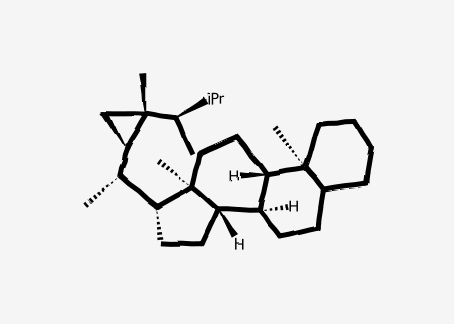 CC(C)[C@@H](C)[C@@]1(C)C[C@@H]1[C@@H](C)[C@H]1CC[C@H]2[C@@H]3CCC4CCCC[C@]4(C)[C@H]3CC[C@]12C